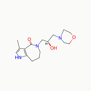 Cc1c[nH]c2c1C(=O)N(C[C@H](O)CN1CCOCC1)CCC2